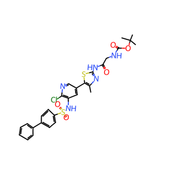 Cc1nc(NC(=O)CNC(=O)OC(C)(C)C)sc1-c1cnc(Cl)c(NS(=O)(=O)c2ccc(-c3ccccc3)cc2)c1